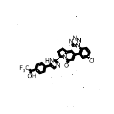 O=c1cc(-c2cc(Cl)ccc2-n2cnnn2)cc2n1[C@H](c1ncc(-c3ccc(C(O)C(F)(F)F)cc3)[nH]1)CC2